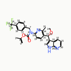 C=C(C)OC(=O)N(Cc1ccc(C(F)(F)F)cc1)c1ccc(C(OC)c2c[nH]c3ncccc23)c(C)n1